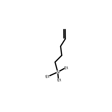 C=CCCC[Si](CC)(CC)CC